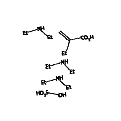 C=C(CC)C(=O)O.CCNCC.CCNCC.CCNCC.O=S(=O)(O)O